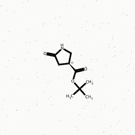 CC(C)(C)OC(=O)[C@@H]1CNC(=O)C1